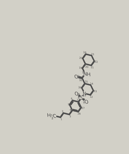 CCCCc1ccc(S(=O)(=O)N2CCCC(C(=O)NCC3CCCCC3)C2)cc1